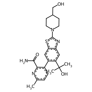 Cc1ccc(-c2cc3sc(N4CCC(CO)CC4)nc3cc2C(C)(C)O)c(C(N)=O)n1